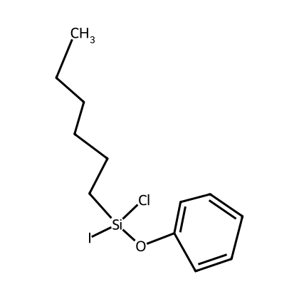 CCCCCC[Si](Cl)(I)Oc1ccccc1